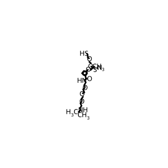 CC(C)NCCCOCCOCCOCCNC(=O)c1cccc(OCC(C)(OCCOCCS)SC#N)c1